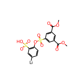 [Li][c]1ccc(OS(=O)(=O)c2cc(C(=O)OC)cc(C(=O)OC)c2)c(S(=O)(=O)O)c1